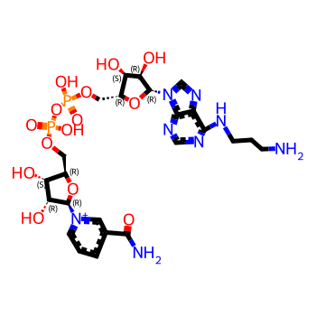 NCCCNc1ncnc2c1ncn2[C@@H]1O[C@H](COP(=O)(O)OP(=O)(O)OC[C@H]2O[C@@H]([n+]3cccc(C(N)=O)c3)[C@H](O)[C@@H]2O)[C@@H](O)[C@H]1O